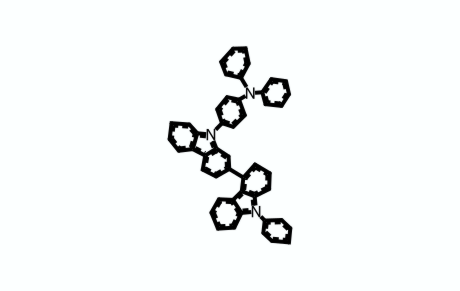 c1ccc(N(c2ccccc2)c2ccc(-n3c4ccccc4c4ccc(-c5cccc6c5c5ccccc5n6-c5ccccc5)cc43)cc2)cc1